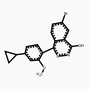 COc1cc(C2CC2)ccc1-c1nnc(O)c2cc(Br)ccc12